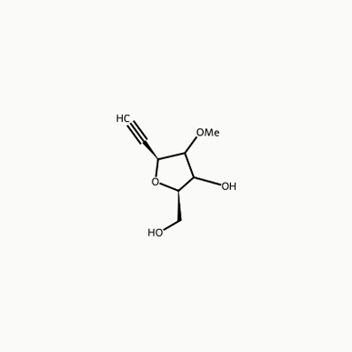 C#C[C@@H]1O[C@H](CO)C(O)C1OC